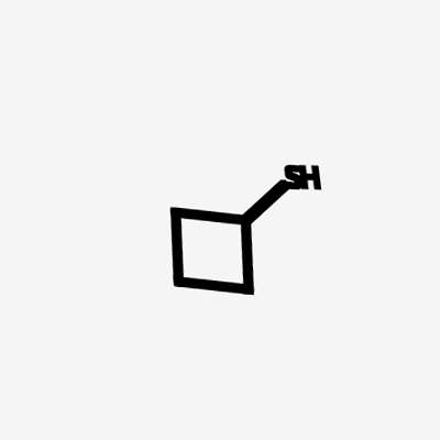 SC1CCC1